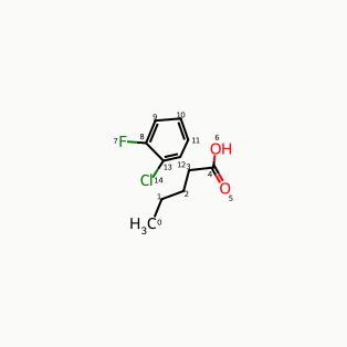 CCCCC(=O)O.Fc1ccccc1Cl